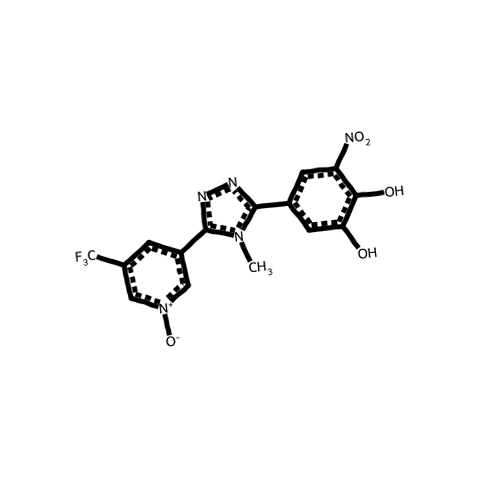 Cn1c(-c2cc(O)c(O)c([N+](=O)[O-])c2)nnc1-c1cc(C(F)(F)F)c[n+]([O-])c1